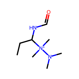 CCC(NC=O)[N+](C)(C)N(C)C